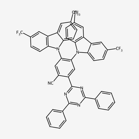 N#Cc1cc(-n2c3ccc(C(F)(F)F)cc3c3cc(C(F)(F)F)ccc32)c(-n2c3ccc(C(F)(F)F)cc3c3cc(C(F)(F)F)ccc32)cc1-c1nc(-c2ccccc2)nc(-c2ccccc2)n1